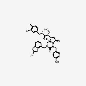 N#CCN(C(=O)NCc1ccc(I)c(Cl)c1)N1CC(=O)N2[C@@H](Cc3ccc(O)cn3)C(=O)N(Cc3cccc4sc(N)nc34)C[C@@H]21